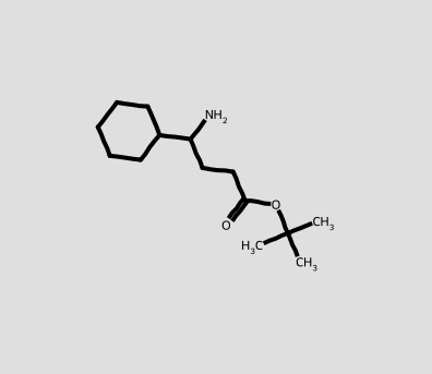 CC(C)(C)OC(=O)CCC(N)C1CCCCC1